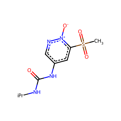 CC(C)NC(=O)Nc1cn[n+]([O-])c(S(C)(=O)=O)c1